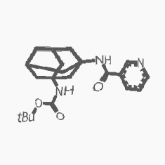 CC(C)(C)OC(=O)NC12CC3CC(C1)CC(NC(=O)c1cccnc1)(C3)C2